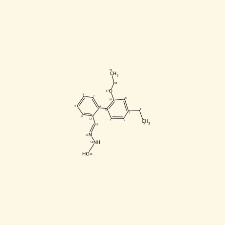 C[CH]c1ccc(-c2ccccc2C=NNO)c(OCC)c1